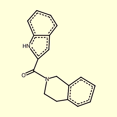 O=C(c1cc2ccccc2[nH]1)N1CCc2ccccc2C1